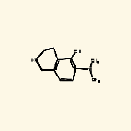 CN(C)c1ccc2c(c1O)CCNC2